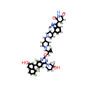 CCc1c(F)ccc2cc(O)cc(-c3c(F)cc4c(N5CCC[C@@](C)(O)C5)nc(OCC5(CN6CCC(CN7CCC(c8cccc9c(C%10CCC(=O)NC%10=O)nn(C)c89)CC7)CC6)CC5)nc4c3F)c12